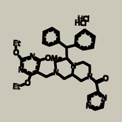 CCOc1nc(OC)c(CN2CC3CN(C(=O)c4cnccn4)CCN3C(C(c3ccccc3)c3ccccc3)C2)c(OCC)n1.Cl.Cl